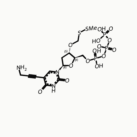 CSSCO[C@H]1C[C@H](n2cc(C#CCN)c(=O)[nH]c2=O)O[C@@H]1COP(=O)(O)OP(=O)(O)OP(=O)(O)O